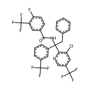 O=C(NC(Cc1ccccc1)(c1cccc(C(F)(F)F)c1)c1ncc(C(F)(F)F)cc1Cl)c1ccc(F)c(C(F)(F)F)c1